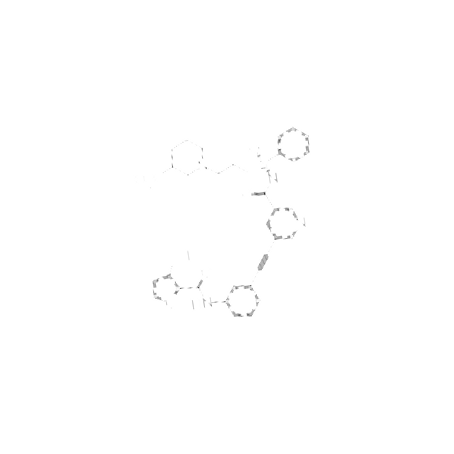 Cc1ccoc1C(=O)Nc1cccc(C#Cc2cncc(C(=O)N=[S@](=O)(CCCN3CCCC(C(=O)O)C3)c3ccccc3)c2)c1